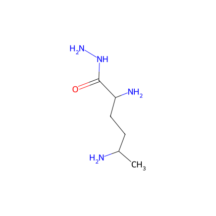 CC(N)CCC(N)C(=O)NN